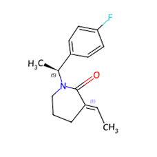 C/C=C1\CCCN([C@@H](C)c2ccc(F)cc2)C1=O